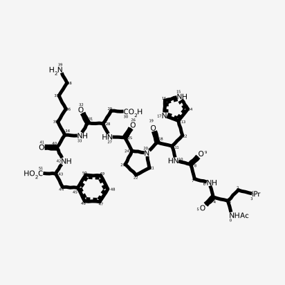 CC(=O)NC(CC(C)C)C(=O)NCC(=O)NC(Cc1c[nH]cn1)C(=O)N1CCCC1C(=O)NC(CC(=O)O)C(=O)NC(CCCCN)C(=O)NC(Cc1ccccc1)C(=O)O